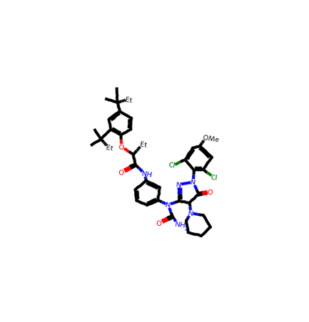 CCC(Oc1ccc(C(C)(C)CC)cc1C(C)(C)CC)C(=O)Nc1cccc(N(C(N)=O)C2=NN(c3c(Cl)cc(OC)cc3Cl)C(=O)C2N2CCCCC2)c1